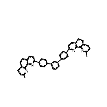 Cc1ccc2ccc3ccc(-c4ccc(-c5cccc(-c6ccc(-c7ccc8ccc9ccc(C)nc9c8n7)cc6)c5)cc4)nc3c2n1